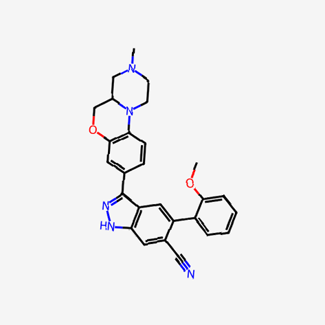 COc1ccccc1-c1cc2c(-c3ccc4c(c3)OCC3CN(C)CCN43)n[nH]c2cc1C#N